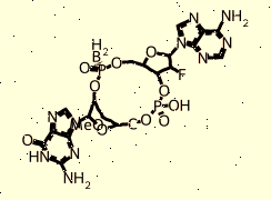 B[P@@]1(=O)OCC2OC(n3cnc4c(N)ncnc43)C(F)C2OP(=O)(O)OCC2OC(n3cnc4c(=O)[nH]c(N)nc43)C(O1)C2OC